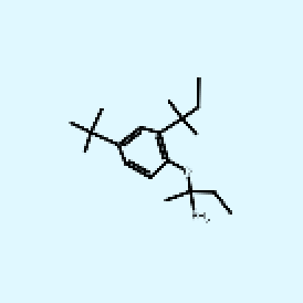 CCC(C)(P)Oc1ccc(C(C)(C)C)cc1C(C)(C)CC